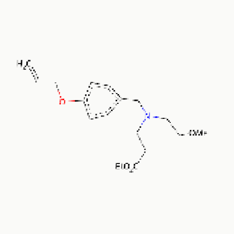 C=CCOc1ccc(CN(CCOC)CCC(=O)OCC)cc1